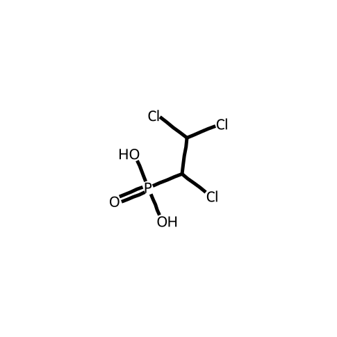 O=P(O)(O)C(Cl)C(Cl)Cl